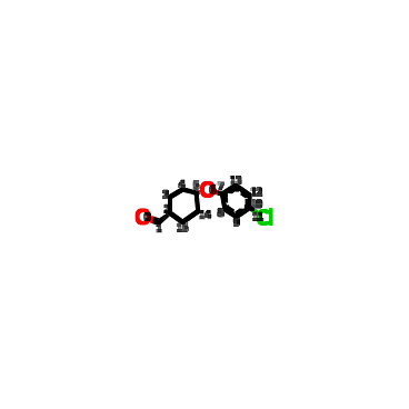 O=C[C@H]1CC[C@H](Oc2ccc(Cl)cc2)CC1